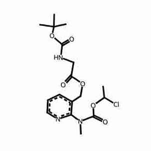 CC(Cl)OC(=O)N(C)c1ncccc1COC(=O)CNC(=O)OC(C)(C)C